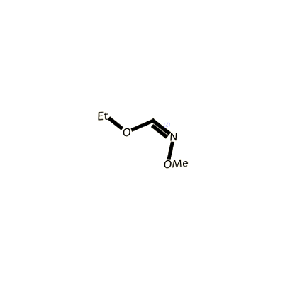 CCO/[C]=N\OC